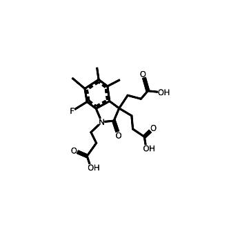 Cc1c(C)c(F)c2c(c1C)C(CCC(=O)O)(CCC(=O)O)C(=O)N2CCC(=O)O